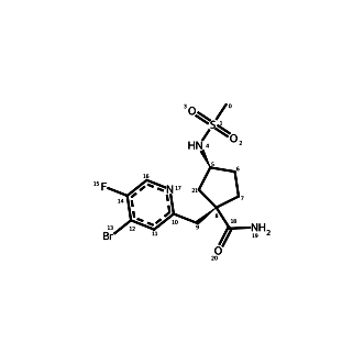 CS(=O)(=O)N[C@H]1CC[C@](Cc2cc(Br)c(F)cn2)(C(N)=O)C1